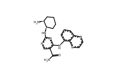 NC(=O)c1cnc(N[C@@H]2CCCC[C@@H]2N)nc1Nc1cccc2nccnc12